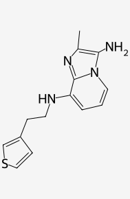 Cc1nc2c(NCCc3ccsc3)cccn2c1N